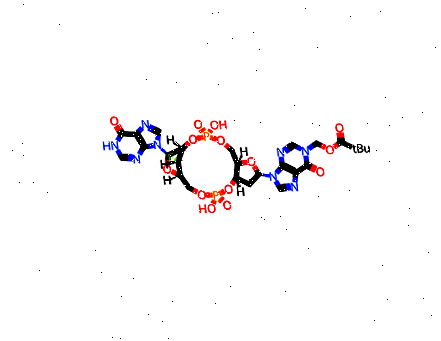 CC(C)(C)C(=O)OCn1cnc2c(ncn2[C@H]2C[C@@H]3OP(=O)(O)OC[C@H]4O[C@@H](n5cnc6c(=O)[nH]cnc65)[C@H](OP(=O)(O)OC[C@H]3O2)[C@H]4F)c1=O